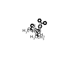 COC(=O)c1cccnc1SC[C@H](NC(=O)OC(C)(C)C)C(=O)N1CCN(C(c2ccccc2)c2ccccc2)CC1